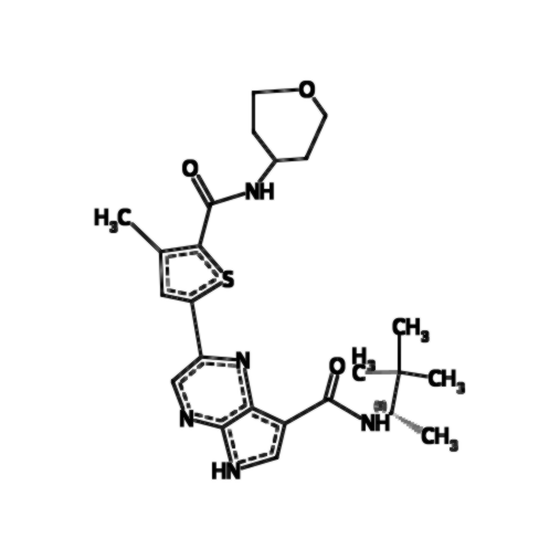 Cc1cc(-c2cnc3[nH]cc(C(=O)N[C@@H](C)C(C)(C)C)c3n2)sc1C(=O)NC1CCOCC1